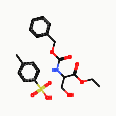 CCOC(=O)C(CO)NC(=O)OCc1ccccc1.Cc1ccc(S(=O)(=O)O)cc1